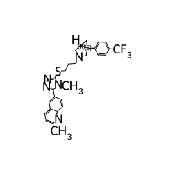 Cc1ccc2cc(-c3nnc(SCCCN4C[C@@H]5C[C@]5(c5ccc(C(F)(F)F)cc5)C4)n3C)ccc2n1